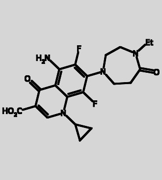 CCN1CCN(c2c(F)c(N)c3c(=O)c(C(=O)O)cn(C4CC4)c3c2F)CCC1=O